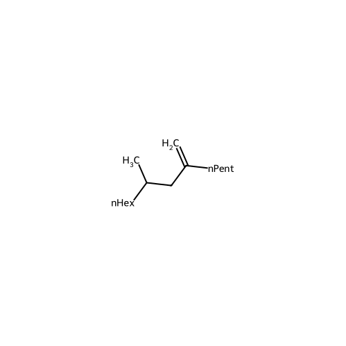 C=C(CCCCC)CC(C)CCCCCC